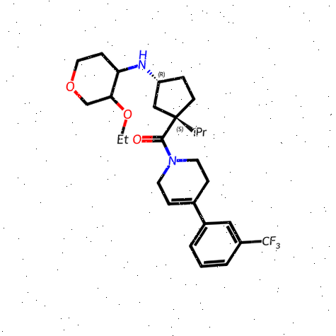 CCOC1COCCC1N[C@@H]1CC[C@@](C(=O)N2CC=C(c3cccc(C(F)(F)F)c3)CC2)(C(C)C)C1